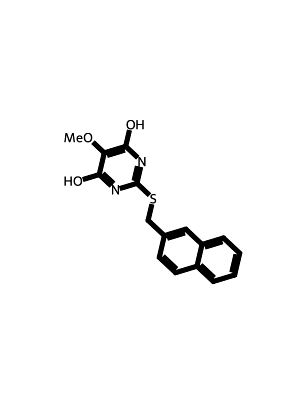 COc1c(O)nc(SCc2ccc3ccccc3c2)nc1O